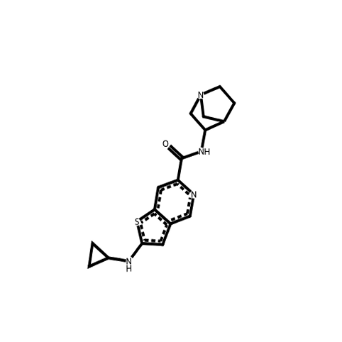 O=C(NC1CN2CCC1C2)c1cc2sc(NC3CC3)cc2cn1